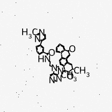 Cc1nccc(-c2cccc(C(=O)NCCN3CN(C4(C)C(=O)C(C)C=c5c4ccc4c5=CC(=O)c5ccccc5-4)c4ncncc43)c2)n1